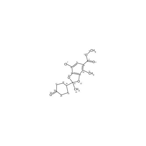 COC(=O)c1cc(Cl)c2c(c1C)OC(C)(C1CCC(=O)CC1)O2